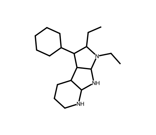 CCC1C(C2CCCCC2)C2C3CCCNC3NC2N1CC